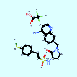 Nc1ccnc2cc(CN3CC[C@H](NS(=O)(=O)C=Cc4ccc(SCl)cc4)C3=O)ccc12.O=C(O)C(F)(F)F